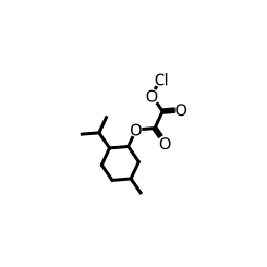 CC1CCC(C(C)C)C(OC(=O)C(=O)OCl)C1